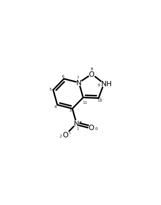 O=[N+]([O-])C1=CC=CN2ON[C]=C12